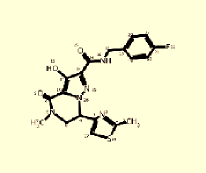 Cc1nc(C2CN(C)C(=O)c3c(O)c(C(=O)NCc4ccc(F)cc4)nn32)cs1